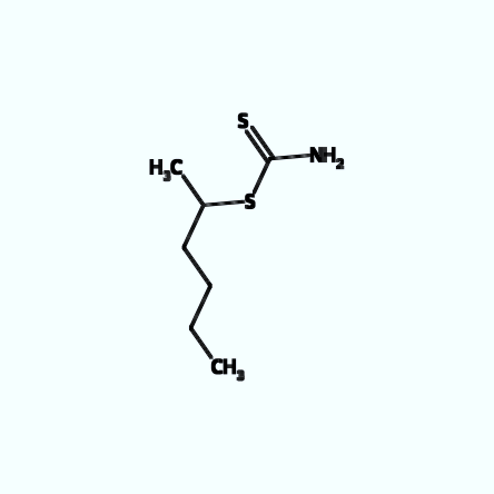 CCCCC(C)SC(N)=S